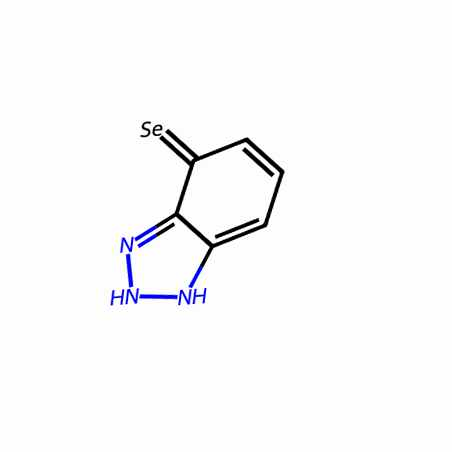 [Se]=c1cccc2[nH][nH]nc1-2